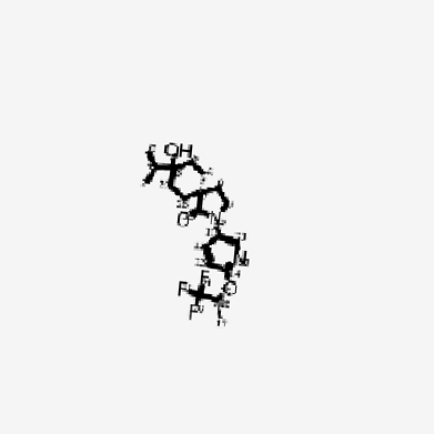 CC(C)[C@]1(O)CC[C@@]2(CCN(c3ccc(O[C@@H](C)C(F)(F)F)nc3)C2=O)CC1